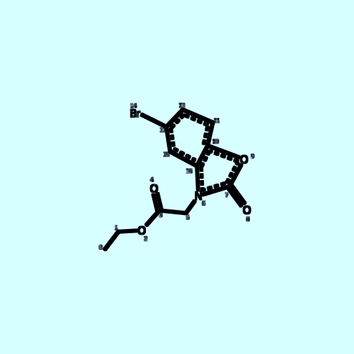 CCOC(=O)Cn1c(=O)oc2ccc(Br)cc21